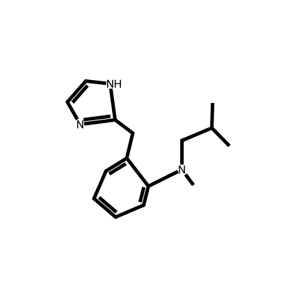 CC(C)CN(C)c1ccccc1Cc1ncc[nH]1